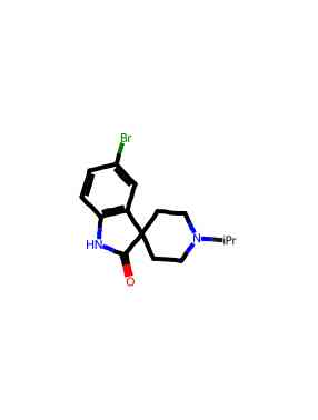 CC(C)N1CCC2(CC1)C(=O)Nc1ccc(Br)cc12